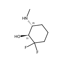 CN[C@@H]1CCCC(F)(F)[C@H]1O